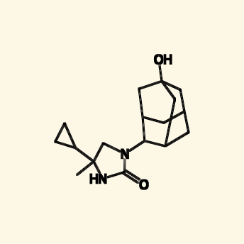 CC1(C2CC2)CN(C2C3CC4CC2CC(O)(C4)C3)C(=O)N1